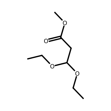 CCOC(CC(=O)OC)OCC